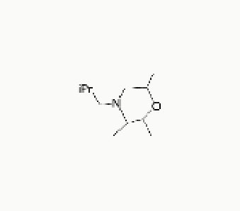 CC(C)CN1CC(C)OC(C)C1C